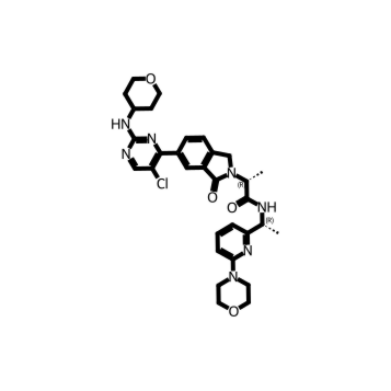 C[C@H](C(=O)N[C@H](C)c1cccc(N2CCOCC2)n1)N1Cc2ccc(-c3nc(NC4CCOCC4)ncc3Cl)cc2C1=O